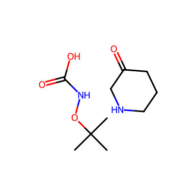 CC(C)(C)ONC(=O)O.O=C1CCCNC1